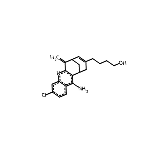 C=C1c2nc3cc(Cl)ccc3c(N)c2C2CC(CCCCO)=CC1C2